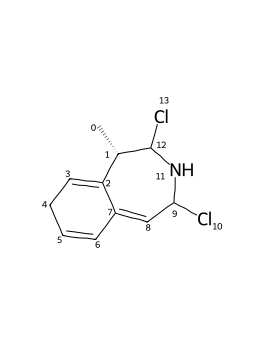 C[C@H]1C2=CCC=CC2=CC(Cl)NC1Cl